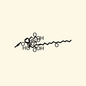 CC#CCOc1ccc(C[C@H](NC(=O)[C@@H](/C=C/CCCCCCC(=O)CCCCCCC)[C@@](O)(CC(=O)O)C(=O)O)C(=O)O)cc1